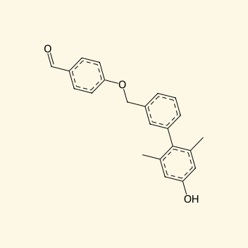 Cc1cc(O)cc(C)c1-c1cccc(COc2ccc(C=O)cc2)c1